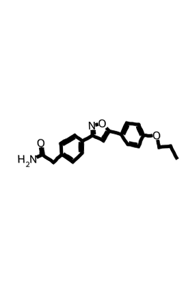 CCCOc1ccc(-c2cc(-c3ccc(CC(N)=O)cc3)no2)cc1